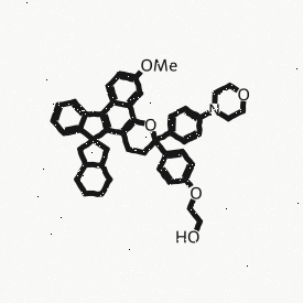 COc1ccc2c3c(c4c(c2c1)OC(c1ccc(OCCO)cc1)(c1ccc(N2CCOCC2)cc1)CC4)C1(CC2CCCCC2C1)c1ccccc1-3